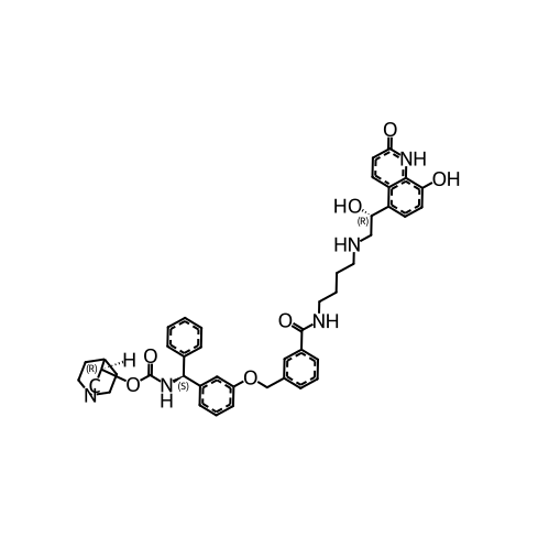 O=C(N[C@@H](c1ccccc1)c1cccc(OCc2cccc(C(=O)NCCCCNC[C@H](O)c3ccc(O)c4[nH]c(=O)ccc34)c2)c1)O[C@H]1CN2CCC1CC2